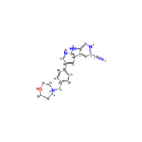 N#Cc1cc2c(cn1)[nH]c1ncc(-c3ccc(CN4CCCOCC4)cc3)cc12